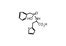 O=C(O)C(Cc1cccs1)NP(=O)(O)Cc1ccccc1